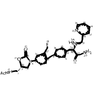 CC(=O)NC[C@H]1CN(c2ccc(-c3ccc([C@@H](NCc4ccccn4)C(N)=O)cc3)c(F)c2)C(=O)O1